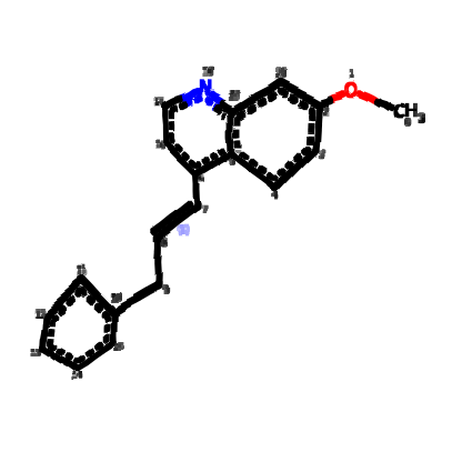 COc1ccc2c(/C=C/Cc3ccccc3)ccnc2c1